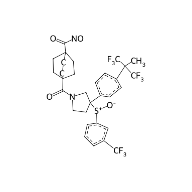 CC(c1ccc(C2([S+]([O-])c3cccc(C(F)(F)F)c3)CCN(C(=O)C34CCC(C(=O)N=O)(CC3)CC4)C2)cc1)(C(F)(F)F)C(F)(F)F